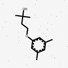 Cc1cc(C)cc(OCCC(C)(C)O)c1